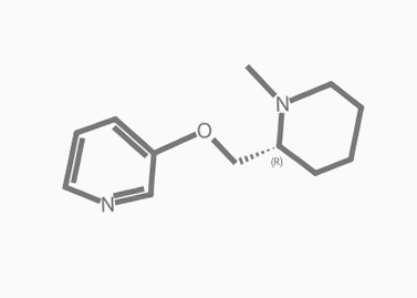 CN1CCCC[C@@H]1COc1cccnc1